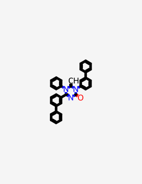 C=C1N(c2cccc(-c3ccccc3)c2)C(=O)N=C(c2cccc(-c3ccccc3)c2)N1c1ccccc1